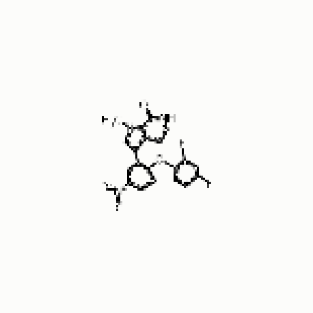 Cn1cc(-c2cc([N+](=O)[O-])ccc2Oc2ccc(F)cc2F)c2cc[nH]c(=O)c21